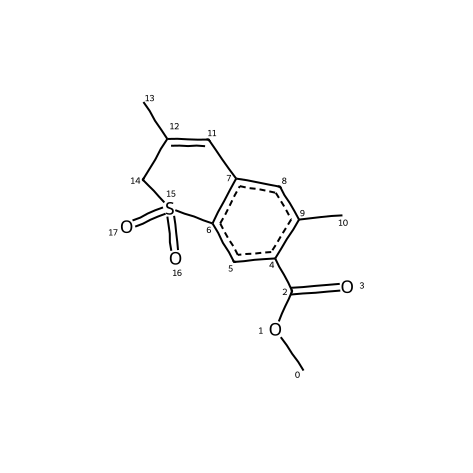 COC(=O)c1cc2c(cc1C)C=C(C)CS2(=O)=O